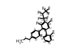 CCCc1ccc(-c2c(-c3c(F)cccc3F)cc(F)c(C(F)(F)C(F)C(F)(F)F)c2F)cc1